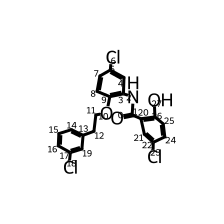 O=C(Nc1cc(Cl)ccc1OCCc1cccc(Cl)c1)c1cc(Cl)ccc1O